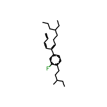 C=C/C=C\C(=C/CCC(CC)CCC)c1ccc(CCC(C)CC)c(F)c1